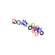 C[C@H]1CC2(CCN(c3cnc(Sc4cccc(NC(=O)c5c(O)nc6ccccn6c5=O)c4Cl)cn3)CC2)CO1